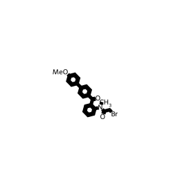 COc1ccc(-c2ccc(C(=O)c3ccccc3N(C)C(=O)CBr)cc2)cc1